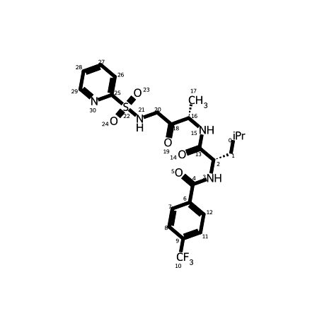 CC(C)C[C@H](NC(=O)c1ccc(C(F)(F)F)cc1)C(=O)N[C@@H](C)C(=O)CNS(=O)(=O)c1ccccn1